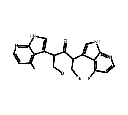 O=C(C(CBr)c1c[nH]c2nccc(F)c12)C(CBr)c1c[nH]c2nccc(F)c12